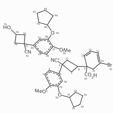 COc1ccc(C2(C#N)CC(C3(C(=O)O)C=CC=C(Br)C3)C2)cc1OC1CCCC1.COc1ccc(C2(C#N)CC(O)C2)cc1OC1CCCC1